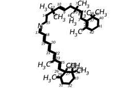 CC1=C(CCC(C)(C)C/C=C/C(C)(C)CC\N=C/C=C/C=C/C=C(C)/C=C/C2(C)C(C)CCCC2(C)C)C(C)(C)CCC1